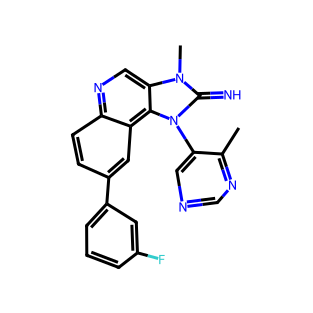 Cc1ncncc1-n1c(=N)n(C)c2cnc3ccc(-c4cccc(F)c4)cc3c21